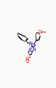 COOCc1ccn2c(NCc3ccccc3)c(/C=C/C3C=CC(OC)=CC3)nc2c1